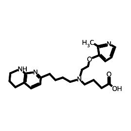 Cc1ncccc1OCCN(CCCCc1ccc2c(n1)NCCC2)CCCC(=O)O